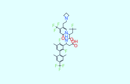 Cc1cc(-c2c(C)cc(C(F)(F)F)cc2C)c(F)c(C(CC(=O)O)NC(=O)C(CC(C)(C)F)n2cc(CCN3CCC3)c(C(F)(F)F)cc2=O)c1F